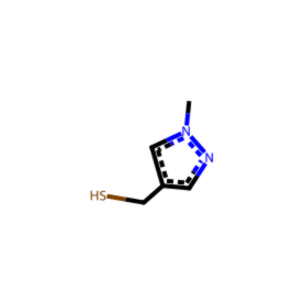 Cn1cc(CS)cn1